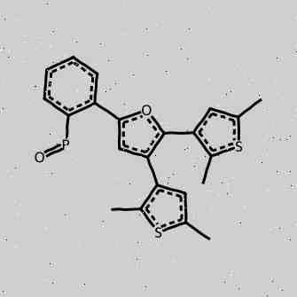 Cc1cc(-c2cc(-c3ccccc3P=O)oc2-c2cc(C)sc2C)c(C)s1